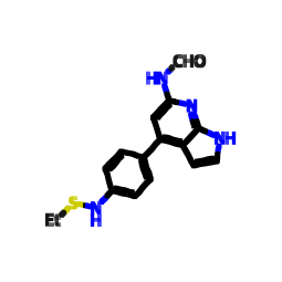 CCSNc1ccc(-c2cc(NC=O)nc3[nH]ccc23)cc1